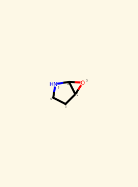 C1CC2OC2N1